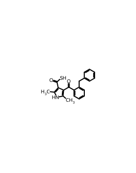 Cc1[nH]c(C)c(C(=O)c2ccccc2Cc2ccccc2)c1C(=O)S